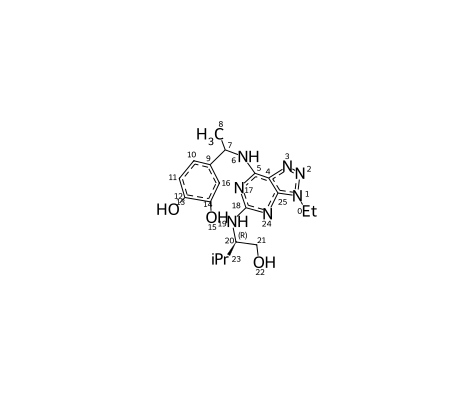 CCn1nnc2c(NC(C)c3ccc(O)c(O)c3)nc(N[C@@H](CO)C(C)C)nc21